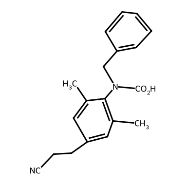 Cc1cc(CCC#N)cc(C)c1N(Cc1ccccc1)C(=O)O